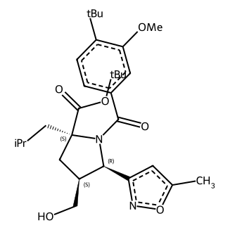 COc1cc(C(=O)N2[C@@H](c3cc(C)on3)[C@@H](CO)C[C@@]2(CC(C)C)C(=O)OC(C)(C)C)ccc1C(C)(C)C